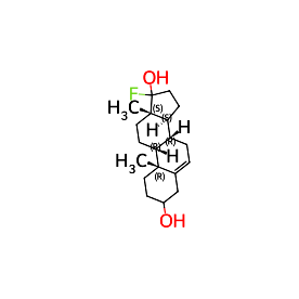 C[C@]12CCC(O)CC1=CC[C@@H]1[C@H]2CC[C@@]2(C)[C@H]1CCC2(O)F